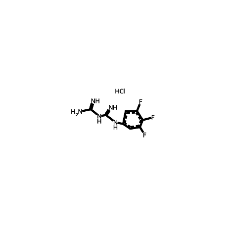 Cl.N=C(N)NC(=N)Nc1cc(F)c(F)c(F)c1